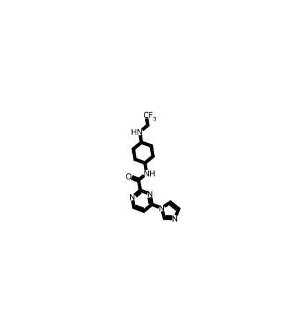 O=C(NC1CCC(NCC(F)(F)F)CC1)c1nccc(-n2ccnc2)n1